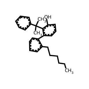 CCCCCCc1ccccc1-c1cccc(O)c1C(C)(C)c1ccccc1